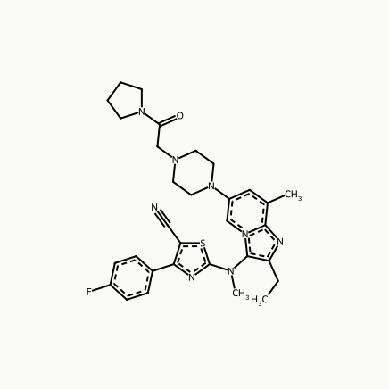 CCc1nc2c(C)cc(N3CCN(CC(=O)N4CCCC4)CC3)cn2c1N(C)c1nc(-c2ccc(F)cc2)c(C#N)s1